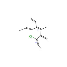 C=C/C(C=CC)=C(\C)C(=C)/C(Cl)=C\C